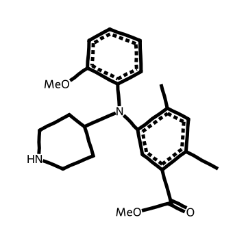 COC(=O)c1cc(N(c2ccccc2OC)C2CCNCC2)c(C)cc1C